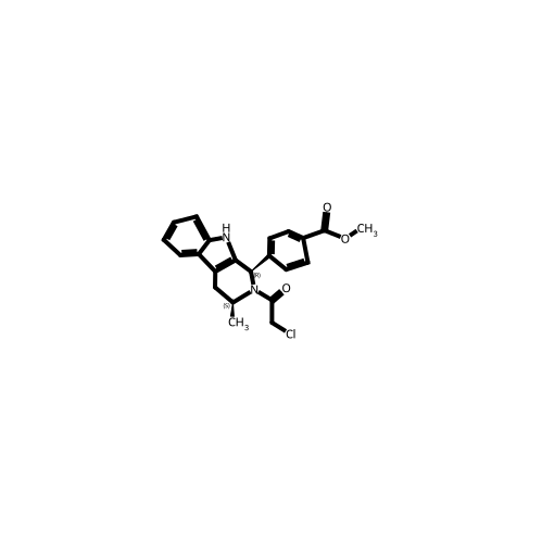 COC(=O)c1ccc([C@@H]2c3[nH]c4ccccc4c3C[C@H](C)N2C(=O)CCl)cc1